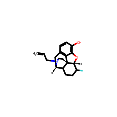 C=CCN1CC[C@@]23c4c5ccc(O)c4O[C@@H]2C(F)CCC3[C@@H]1C5